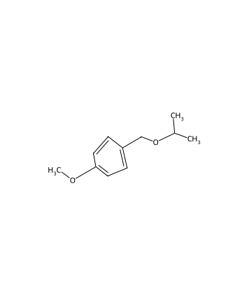 COc1ccc(COC(C)C)cc1